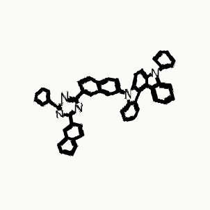 c1ccc(-c2nc(-c3ccc4ccccc4c3)nc(-c3ccc4ccc(-n5c6ccccc6c6c7c8ccccc8n(-c8ccccc8)c7ccc65)cc4c3)n2)cc1